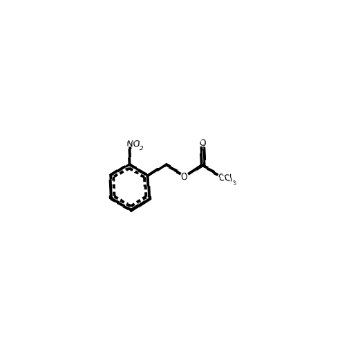 O=C(OCc1ccccc1[N+](=O)[O-])C(Cl)(Cl)Cl